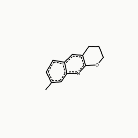 Cc1ccc2cc3c(nc2c1)OCCC3